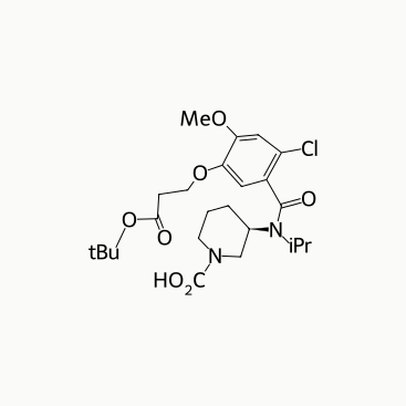 COc1cc(Cl)c(C(=O)N(C(C)C)[C@@H]2CCCN(C(=O)O)C2)cc1OCCC(=O)OC(C)(C)C